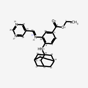 CCOC(=O)c1ccc(NC23CC4CC(CC(C4)C2)C3)c(/N=C/c2cncnc2)c1